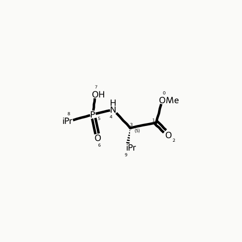 COC(=O)[C@@H](NP(=O)(O)C(C)C)C(C)C